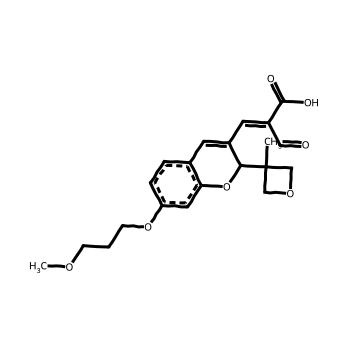 COCCCOc1ccc2c(c1)OC(C1(C)COC1)C(/C=C(\C=O)C(=O)O)=C2